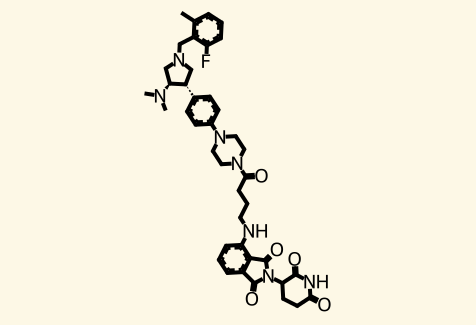 Cc1cccc(F)c1CN1C[C@H](c2ccc(N3CCN(C(=O)CCCNc4cccc5c4C(=O)N(C4CCC(=O)NC4=O)C5=O)CC3)cc2)[C@@H](N(C)C)C1